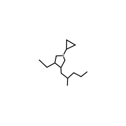 CCCC(C)CC1CN(C2CC2)CC1CC